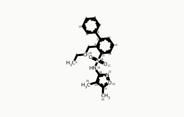 CCOCc1c(-c2ccccc2)cccc1S(=O)(=O)Nc1noc(C)c1C